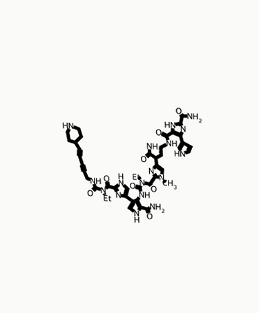 CCN(C(=O)NCC#CC#CC1CCNCC1)C(=O)c1nc(-c2c[nH]c(C(N)=O)c2NC(=O)N(CC)C(=O)c2nc(C(CCNC(=O)c3[nH]c(C(N)=O)nc3-c3cc[nH]c3)C(N)=O)cn2C)c[nH]1